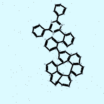 c1ccc(-c2nc(-c3ccccc3)nc(-c3ccccc3-c3ccccc3-c3cc4ccc5cccc6c7cccc8ccc9cccc(c(c3)c4c56)c9c87)n2)cc1